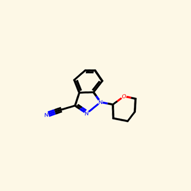 N#Cc1nn(C2CCCCO2)c2ccccc12